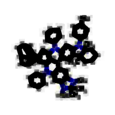 CC(C)(C)c1ccc(N2c3cc4c(cc3C3(C)CCCCC23C)B2c3cc5c(cc3N(c3ccccc3)c3cc(C67CC8CC(CC(C8)C6)C7)cc(c32)N4c2ccccc2)N(C(C)(C)C)C(C)(C)N5C(C)(C)C)cc1